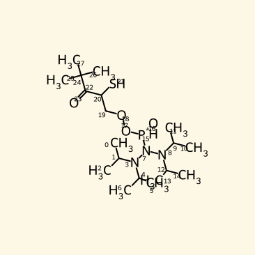 CC(C)N(C(C)C)N(N(C(C)C)C(C)C)[P@@](O)OOCC(S)C(=O)C(C)(C)C